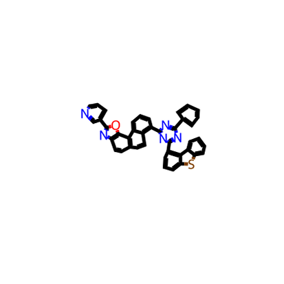 c1ccc(-c2nc(-c3cccc4c3ccc3ccc5nc(-c6cccnc6)oc5c34)nc(-c3cccc4sc5ccccc5c34)n2)cc1